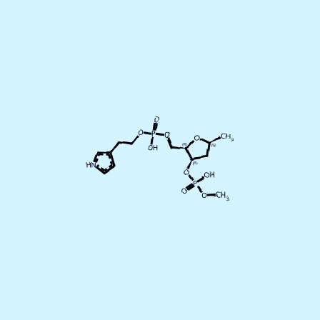 COP(=O)(O)O[C@@H]1C[C@H](C)O[C@@H]1COP(=O)(O)OCCc1cc[nH]c1